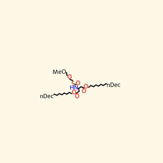 CCCCCCCCCCCCCCCCCCOC(=O)CC(CC(=O)OCCCCCCCCCCCCCCCCCC)NC(=O)SCCOCCOC